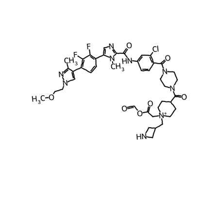 COCCn1cc(-c2ccc(-c3cnc(C(=O)Nc4ccc(C(=O)N5CCN(C(=O)C6CC[N+](CC(=O)OC=O)(CC7CNC7)CC6)CC5)c(Cl)c4)n3C)c(F)c2F)c(C)n1